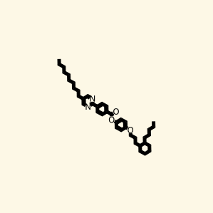 CCCCCCCCCCc1cnc(-c2ccc(C(=O)Oc3ccc(OCCCC4CCCCC4CCCCC)cc3)cc2)nc1